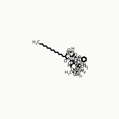 CCCCCCCCCCCCCCC(C#N)C(=O)N(c1cc[nH]c(=O)n1)[C@@H]1O[C@@H]2CO[Si](C(C)C)(C(C)C)O[Si](C(C)C)(C(C)C)O[C@H]2[C@]1(O)OC(=O)SOc1ccccc1